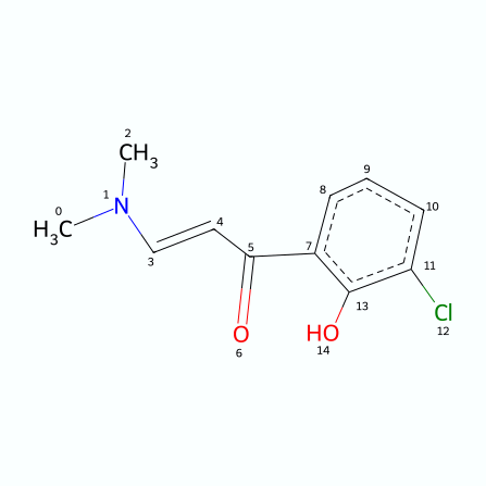 CN(C)/C=C/C(=O)c1cccc(Cl)c1O